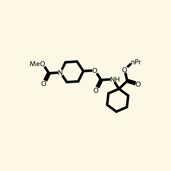 CCCOC(=O)C1(NC(=O)OC2CCN(C(=O)OC)CC2)CCCCC1